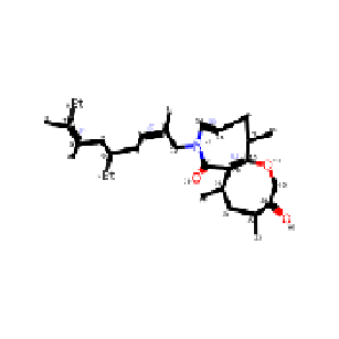 CC/C(C)=C(/C)CC(CC)C/C=C(/C)CN1/C=C/CC(C)/C2=C(\C1=O)C(C)CC(C)C(=O)CO2